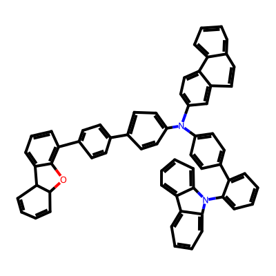 C1=CC2Oc3c(-c4ccc(-c5ccc(N(c6ccc(-c7ccccc7-n7c8ccccc8c8ccccc87)cc6)c6ccc7c(ccc8ccccc87)c6)cc5)cc4)cccc3C2C=C1